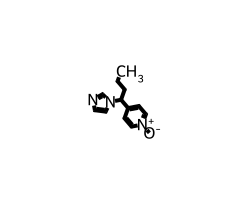 CCCC(c1cc[n+]([O-])cc1)n1ccnc1